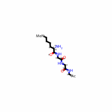 CNCCCC[C@H](N)C(=O)NCC(=O)NCC(=O)NCC(C)=O